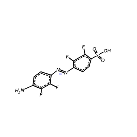 Nc1ccc(/N=N/c2ccc(S(=O)(=O)O)c(F)c2F)c(F)c1F